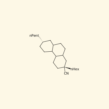 CCCCCC[C@@]1(C#N)CCC2C(CCC3C[C@@H](CCCCC)CCC32)C1